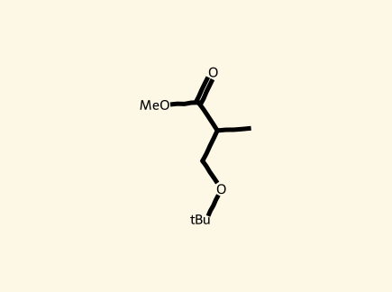 COC(=O)C(C)COC(C)(C)C